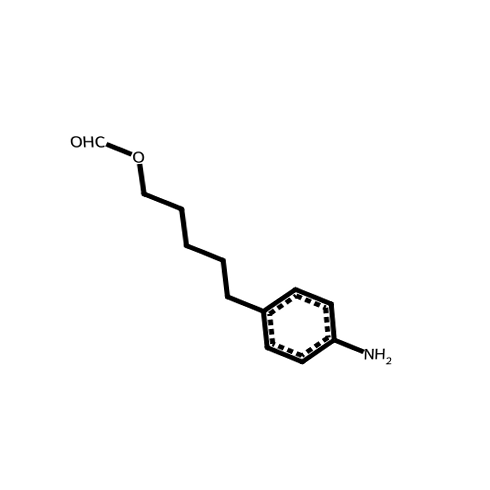 Nc1ccc(CCCCCOC=O)cc1